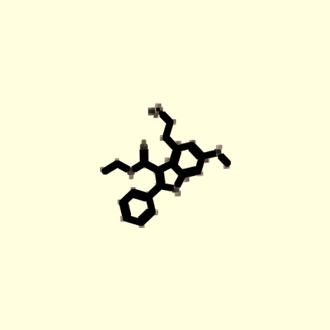 CCOC(=O)c1c(-c2ccccc2)oc2cc(OC)cc(CCN)c12